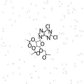 CC(=O)COC1OC(n2cnc3c(Cl)nc(Cl)nc32)C(OC(C)=O)C1OC(C)=O